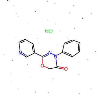 Cl.O=C1COC(c2cccnc2)=NN1c1ccccc1